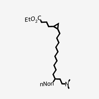 CCCCCCCCCC(CCCCCCCCCCC1CC1CCCC(=O)OCC)CCN(C)C